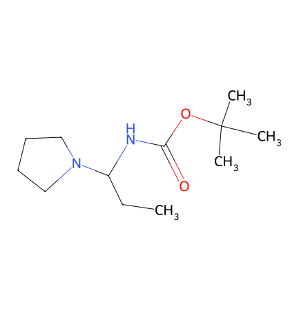 CCC(NC(=O)OC(C)(C)C)N1CCCC1